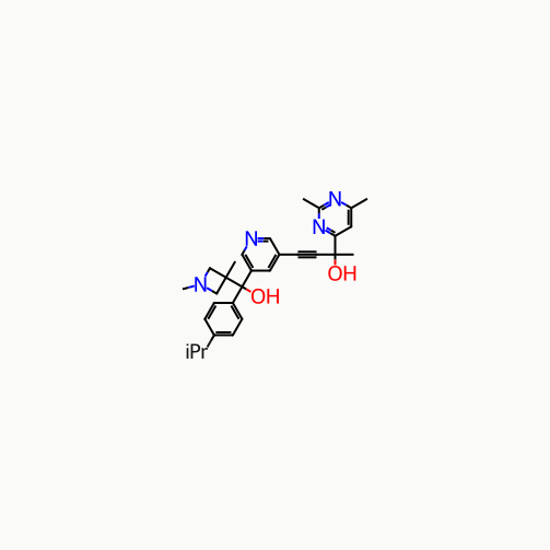 Cc1cc(C(C)(O)C#Cc2cncc(C(O)(c3ccc(C(C)C)cc3)C3(C)CN(C)C3)c2)nc(C)n1